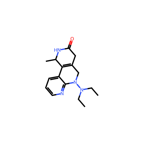 CCN(CC)N1CC2=C(c3cccnc31)C(C)NC(=O)C2